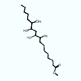 CCCCCC(O)C(O)CC(O)C(O)CCCCCCCC(=O)OC